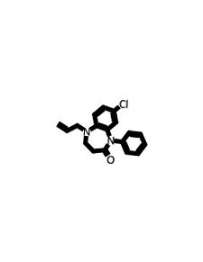 C=CCN1CCC(=O)N(c2ccccc2)c2cc(Cl)ccc21